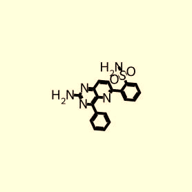 Nc1nc(-c2ccccc2)c2nc(-c3ccccc3S(N)(=O)=O)ccc2n1